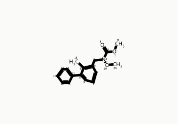 COC(=O)N(Cc1cccc(-c2ccccc2)c1C)OC